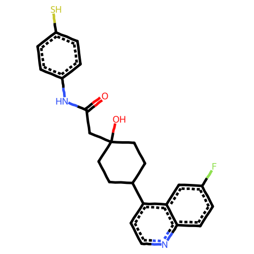 O=C(CC1(O)CCC(c2ccnc3ccc(F)cc23)CC1)Nc1ccc(S)cc1